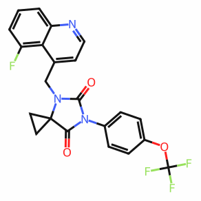 O=C1N(c2ccc(OC(F)(F)F)cc2)C(=O)C2(CC2)N1Cc1ccnc2cccc(F)c12